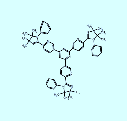 CC1(C)N=C(c2ccc(-c3cc(-c4ccc(C5=NC(C)(C)C(C)(C)N5c5ccccc5)nc4)nc(-c4ccc(C5=NC(C)(C)C(C)(C)N5c5ccccc5)nc4)n3)cn2)N(c2ccccc2)C1(C)C